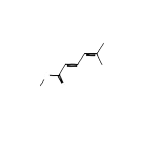 COC(=O)C=CC=C(C)C